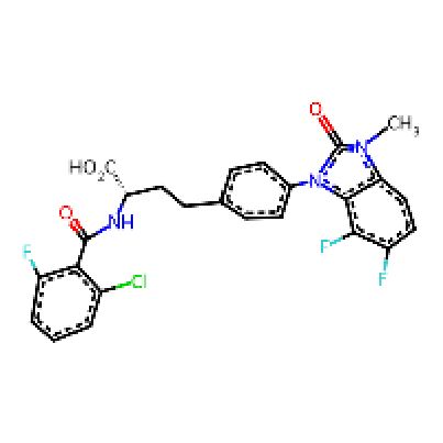 Cn1c(=O)n(-c2ccc(CC[C@H](NC(=O)c3c(F)cccc3Cl)C(=O)O)cc2)c2c(F)c(F)ccc21